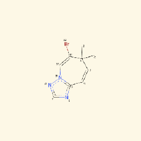 CC1(C)C=Cc2ncnn2C=C1Br